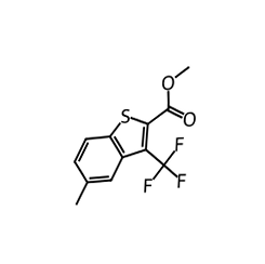 COC(=O)c1sc2ccc(C)cc2c1C(F)(F)F